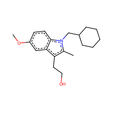 COc1ccc2c(c1)c(CCO)c(C)n2CC1CCCCC1